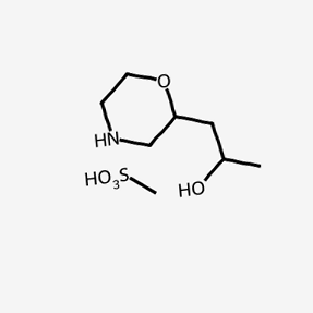 CC(O)CC1CNCCO1.CS(=O)(=O)O